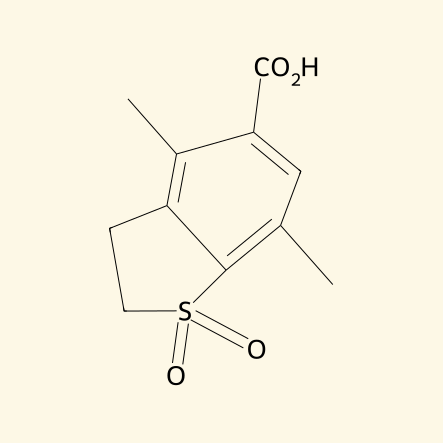 Cc1cc(C(=O)O)c(C)c2c1S(=O)(=O)CC2